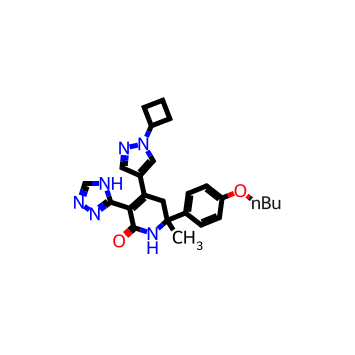 CCCCOc1ccc(C2(C)CC(c3cnn(C4CCC4)c3)=C(c3nnc[nH]3)C(=O)N2)cc1